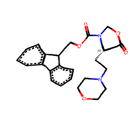 O=C1OCN(C(=O)OCC2c3ccccc3-c3ccccc32)[C@H]1CCN1CCOCC1